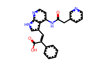 O=C(Cc1cccnc1)Nc1ccnc2[nH]cc(/C=C(\C(=O)O)c3ccccc3)c12